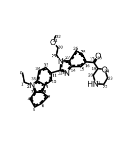 CCn1c2ccccc2c2cc(-c3nc4cc(C(=O)C5CNCCO5)ccc4n3CCOC)ccc21